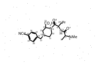 CNC(C)C(=O)NC(C(=O)N1CCN(Cc2ccc(C#N)cc2)CC1C(=O)O)C(C)C